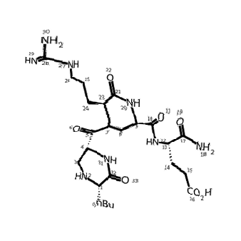 CCCC[C@@H]1NC[C@H](C(=O)C2C[C@H](C(=O)N[C@@H](CCC(=O)O)C(N)=O)NC(=O)[C@@H]2CCCNC(=N)N)NC1=O